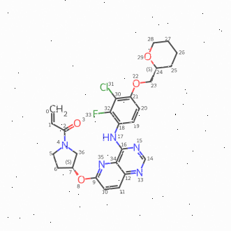 C=CC(=O)N1CC[C@H](Oc2ccc3ncnc(Nc4ccc(OC[C@@H]5CCCCO5)c(Cl)c4F)c3n2)C1